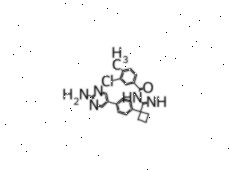 Cc1ccc(C(=O)NC(=N)C2(c3ccc(-c4cnc(N)nc4)cc3)CCC2)cc1Cl